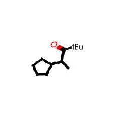 CC(C(=O)C(C)(C)C)C1CCCC1